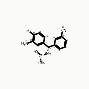 CC(C)(C)[S@@+]([O-])N[C@@H](c1cccc(C#N)c1)c1ccc(F)c(N)c1